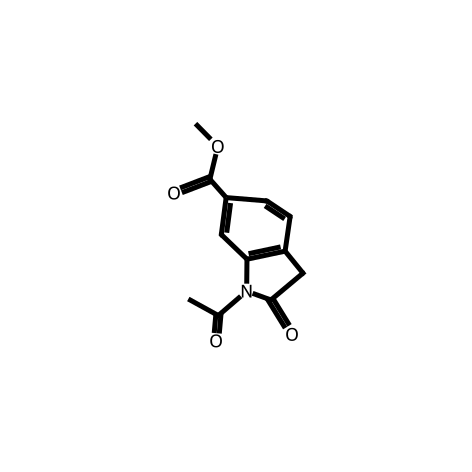 COC(=O)c1ccc2c(c1)N(C(C)=O)C(=O)C2